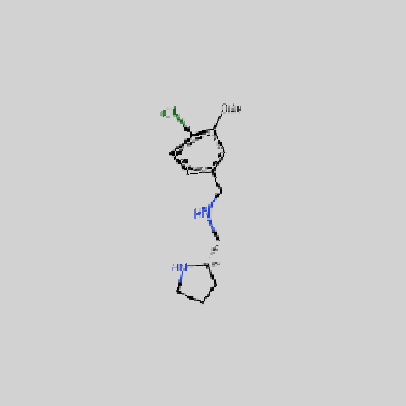 COc1cc(CNC[C@@H]2CCCN2)ccc1Cl